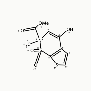 COC(=O)[N+]1(C)C=C(O)c2ccsc2S1(=O)=O